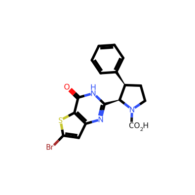 O=C(O)N1CC[C@H](c2ccccc2)[C@@H]1c1nc2cc(Br)sc2c(=O)[nH]1